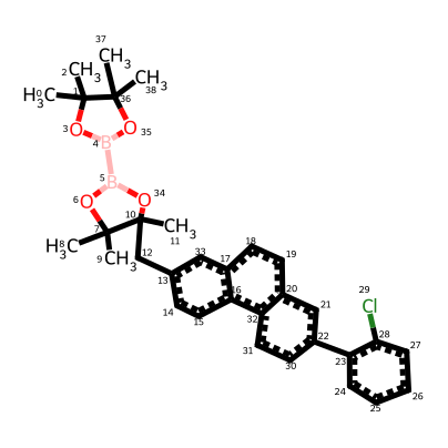 CC1(C)OB(B2OC(C)(C)C(C)(Cc3ccc4c(ccc5cc(-c6ccccc6Cl)ccc54)c3)O2)OC1(C)C